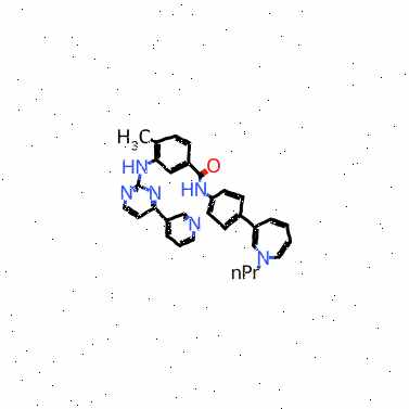 CCCN1C=CC=CC(c2ccc(NC(=O)c3ccc(C)c(Nc4nccc(-c5cccnc5)n4)c3)cc2)=C1